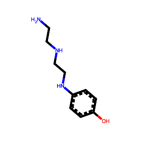 NCCNCCNc1ccc(O)cc1